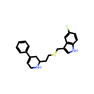 Fc1ccc2[nH]cc(CSCCC3CC(c4ccccc4)=CCN3)c2c1